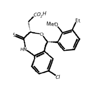 CCc1cccc([C@@H]2O[C@@H](CC(=O)O)C(=S)Nc3ccc(Cl)cc32)c1OC